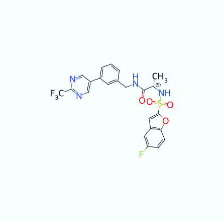 C[C@H](NS(=O)(=O)c1cc2cc(F)ccc2o1)C(=O)NCc1cccc(-c2cnc(C(F)(F)F)nc2)c1